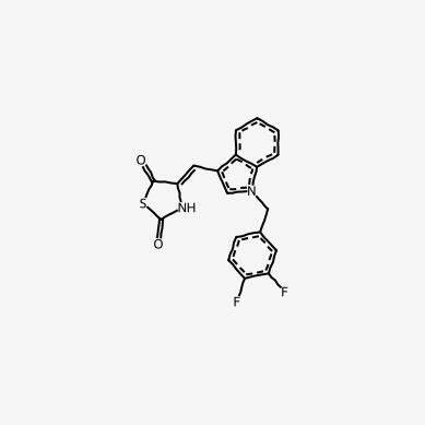 O=C1NC(=Cc2cn(Cc3ccc(F)c(F)c3)c3ccccc23)C(=O)S1